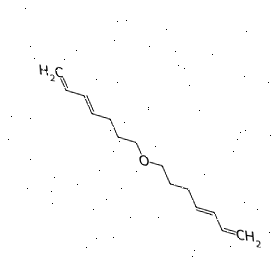 C=CC=CCCCOCCCC=CC=C